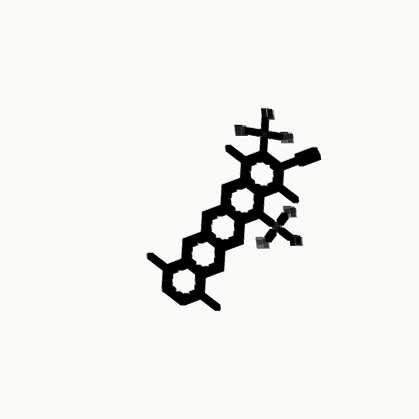 C#Cc1c([Si](CC)(CC)CC)c(C)c2cc3cc4cc5c(C)ccc(C)c5cc4cc3c([Si](CC)(CC)CC)c2c1C